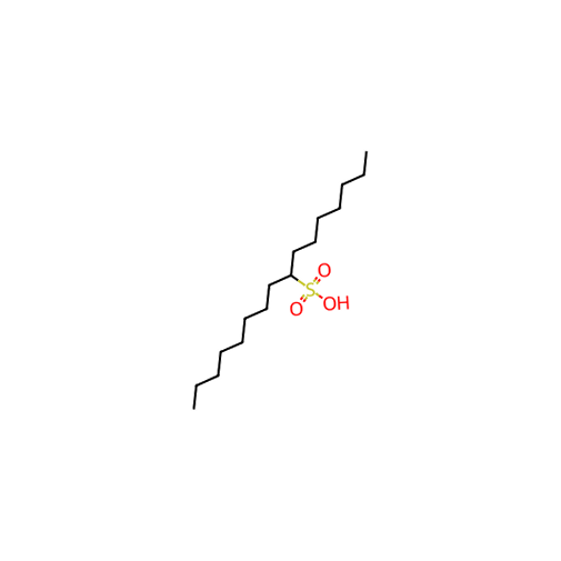 CCCCCCCCC(CCCCCCC)S(=O)(=O)O